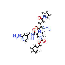 Nc1cc(CNC(=O)C2CN(C(=O)OCc3ccccc3)CCN2C(=O)C(N)CCC(=O)N2CCCC2)ccn1